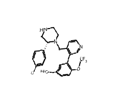 Oc1ccc(OC(F)(F)F)c(-c2cnccc2CN2CCNC[C@H]2c2ccc(Cl)cc2)c1